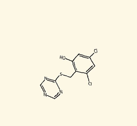 Oc1cc(Cl)cc(Cl)c1CSc1ncncn1